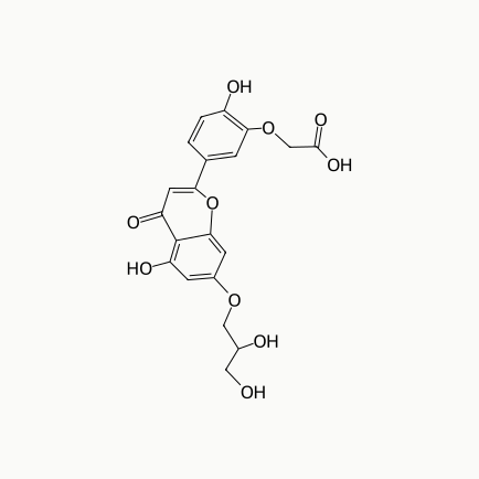 O=C(O)COc1cc(-c2cc(=O)c3c(O)cc(OCC(O)CO)cc3o2)ccc1O